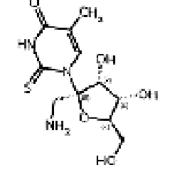 Cc1cn([C@]2(CN)O[C@H](CO)[C@@H](O)[C@H]2O)c(=S)[nH]c1=O